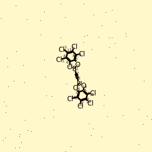 Clc1c(Cl)c(Cl)c2c(c1Cl)OB(C#CB1Oc3c(Cl)c(Cl)c(Cl)c(Cl)c3O1)O2